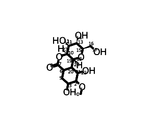 COC1C(O)CC2C(=O)O[C@H]3[C@@H](O)[C@H](O)[C@@H](CO)O[C@@H]3C2C1O